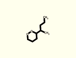 CCCC(C)C1CCCOO1